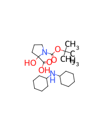 C1CCC(NC2CCCCC2)CC1.CC(C)(C)OC(=O)N1CCCC1(O)C(=O)O